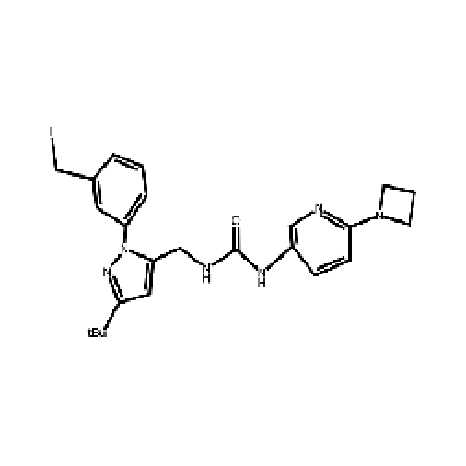 CC(C)(C)c1cc(CNC(=O)Nc2ccc(N3CCC3)nc2)n(-c2cccc(CI)c2)n1